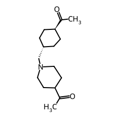 CC(=O)C1CCN(C[C@H]2CC[C@H](C(C)=O)CC2)CC1